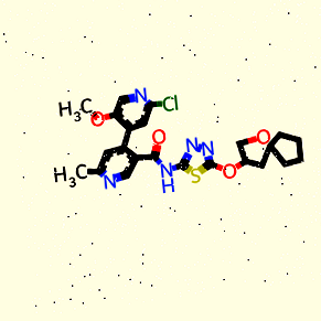 COc1cnc(Cl)cc1-c1cc(C)ncc1C(=O)Nc1nnc(OC2COC3(CCCC3)C2)s1